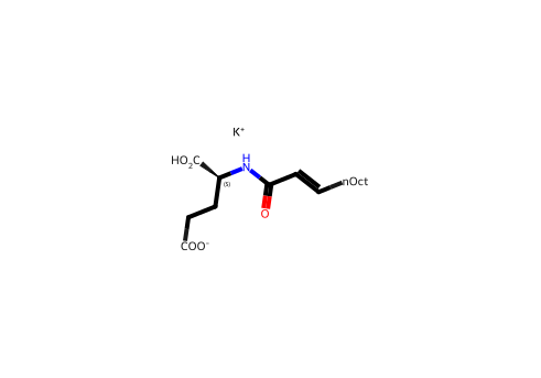 CCCCCCCCC=CC(=O)N[C@@H](CCC(=O)[O-])C(=O)O.[K+]